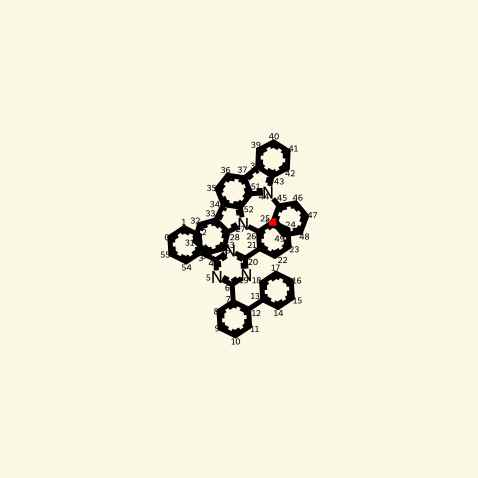 c1ccc(-c2nc(-c3ccccc3-c3ccccc3)nc(-c3ccccc3-n3c4ccccc4c4ccc5c6ccccc6n(-c6ccccc6)c5c43)n2)cc1